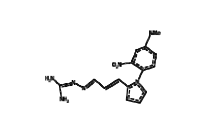 CNc1ccc(-n2cccc2/C=C/C=N/N=C(N)N)c([N+](=O)[O-])c1